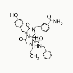 C=CCN1CC(=O)N2[C@@H](Cc3ccc(O)cc3)C(=O)N(Cc3cccc(C(N)=O)c3)C[C@@H]2N1C(=O)NCc1ccccc1